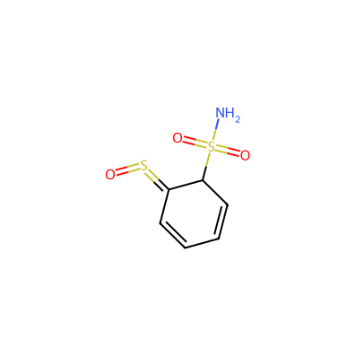 NS(=O)(=O)C1C=CC=CC1=S=O